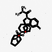 CN(C)C(=O)N1CC2(CCN(C3CC4CCC(C3)N4C(=O)O[C@@H]3CCOC3)CC2)c2cc(F)ccc21